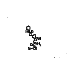 N#CC1CSCN1C(=O)[C@@H](N)Cc1c[nH]c2ccc(OC(=O)NC3=CCCC=C3)cc12